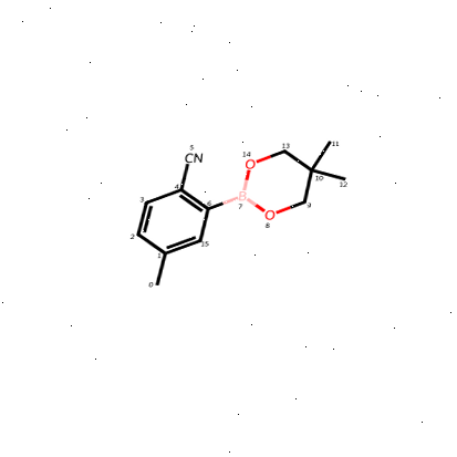 Cc1ccc(C#N)c(B2OCC(C)(C)CO2)c1